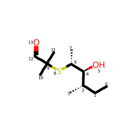 CC[C@H](C)[C@H](O)[C@@H](C)SC(C)(C)C=O